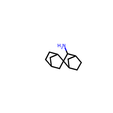 NC1C2CCC(C2)C12CC1CCC2C1